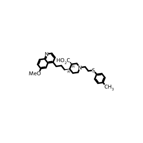 COc1ccc2nccc(CCC[C@@H]3CCN(CCSc4ccc(C)cc4)C[C@@H]3C(=O)O)c2c1